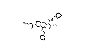 CCCC(=O)C1CCC(CCC(C(=O)OCc2ccccc2)C(C)C)C(C(=O)OCc2ccccc2)C1